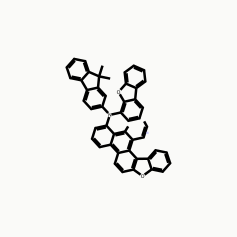 C/C=C\c1c(C)c2c(N(c3ccc4c(c3)C(C)(C)c3ccccc3-4)c3cccc4c3oc3ccccc34)cccc2c2ccc3oc4ccccc4c3c12